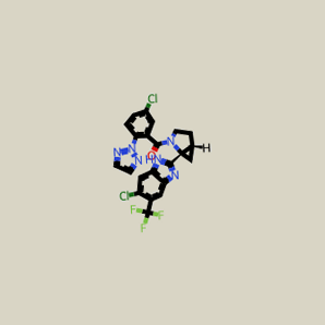 O=C(c1cc(Cl)ccc1-n1nccn1)N1CC[C@@H]2C[C@@]21c1nc2cc(C(F)(F)F)c(Cl)cc2[nH]1